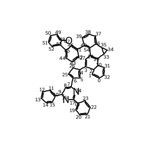 C1=CC2C(C3=CC(c4cc(-c5ccccc5)nc(-c5ccccc5)n4)=CC3)=CC3=C(C2C=C1)C1CC1c1cccc(-c2cccc4c2oc2ccccc24)c13